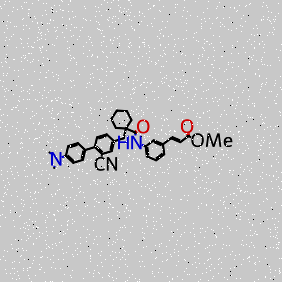 COC(=O)/C=C/c1cccc(NC(=O)C2(Cc3ccc(-c4ccc(N(C)C)cc4)c(C#N)c3)CCCCC2)c1